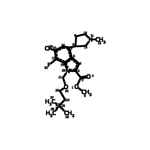 COC(=O)c1cc2c(C3CCN(C)C3)cc(Cl)c(F)c2n1COCC[Si](C)(C)C